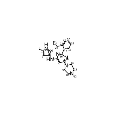 Cc1cc(Nc2cc(N3CCN(C)CC3)nc(-c3ccccc3CF)n2)n[nH]1